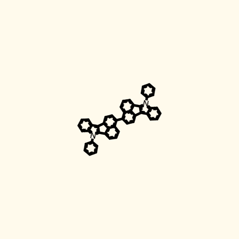 c1ccc(-n2c3c(c4ccccc42)-c2ccc(-c4ccc5c6c(cccc46)-c4c-5c5ccccc5n4-c4ccccc4)c4cccc-3c24)cc1